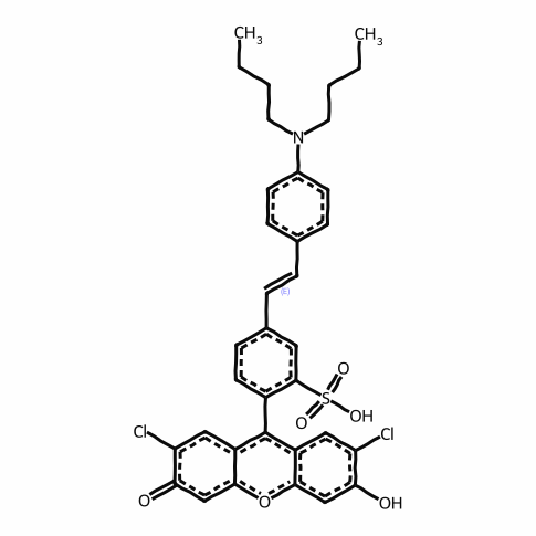 CCCCN(CCCC)c1ccc(/C=C/c2ccc(-c3c4cc(Cl)c(=O)cc-4oc4cc(O)c(Cl)cc34)c(S(=O)(=O)O)c2)cc1